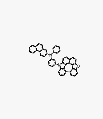 c1ccc(N(c2cccc(-n3c4cccc5c4c4c6c(ccc7oc8cccc-5c8c76)ccc43)c2)c2ccc3c(ccc4ccccc43)c2)cc1